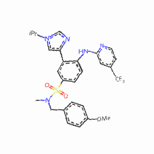 COc1ccc(CN(C)S(=O)(=O)c2ccc(Nc3cc(C(F)(F)F)ccn3)c(-c3cn(C(C)C)cn3)c2)cc1